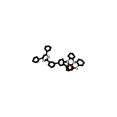 c1ccc(-c2cc(-c3ccccc3)nc(-c3cccc(-c4ccc5c(c4)c4ccccc4n5-c4ccccc4N4c5ccccc5Sc5ccccc54)c3)n2)cc1